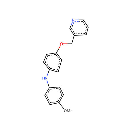 COc1ccc(Nc2ccc(OCc3cccnc3)cc2)cc1